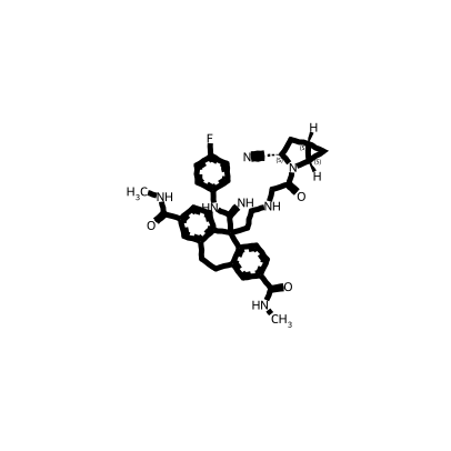 CNC(=O)c1ccc2c(c1)CCc1cc(C(=O)NC)ccc1C2(CCNCC(=O)N1[C@H](C#N)C[C@@H]2C[C@@H]21)C(=N)Nc1ccc(F)cc1